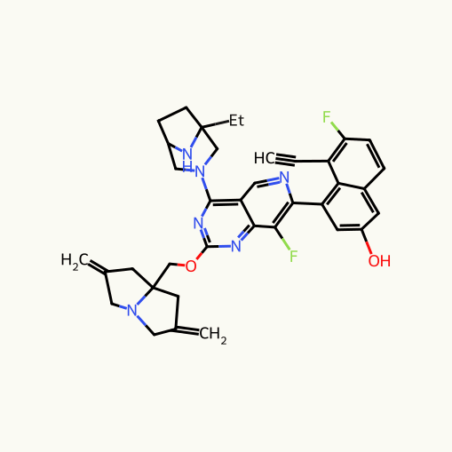 C#Cc1c(F)ccc2cc(O)cc(-c3ncc4c(N5CC6CCC(CC)(C5)N6)nc(OCC56CC(=C)CN5CC(=C)C6)nc4c3F)c12